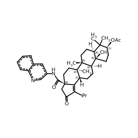 CC(=O)O[C@H]1CC[C@]2(C)[C@H]3CC[C@@H]4C5=C(C(C)C)C(=O)C[C@]5(C(=O)Nc5cnc6ccccc6c5)CC[C@@]4(C)[C@]3(C)CC[C@H]2C1(C)C